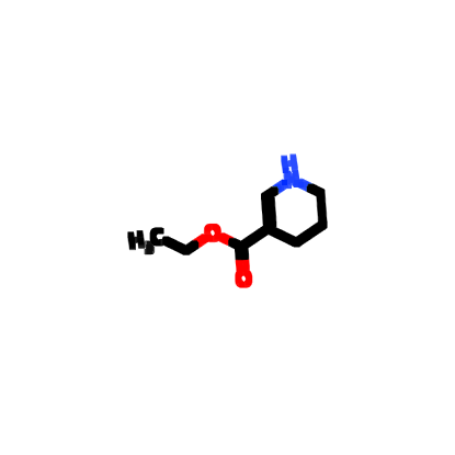 CCOC(=O)C1=CNCCC1